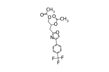 CC(=O)OCC(Cc1nc(-c2ccc(C(F)(F)F)cc2)co1)OC(C)=O